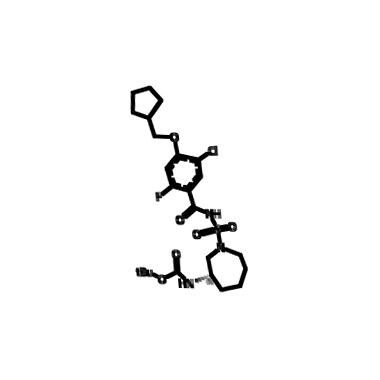 CC(C)(C)OC(=O)N[C@H]1CCCCN(S(=O)(=O)NC(=O)c2cc(Cl)c(OCC3CCCC3)cc2F)C1